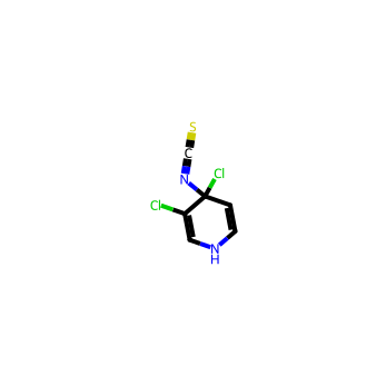 S=C=NC1(Cl)C=CNC=C1Cl